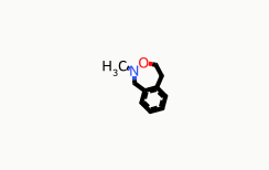 CN1Cc2ccccc2CCO1